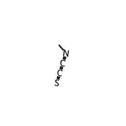 CN=C=C=S